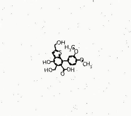 COc1ccc(-c2c(C(=O)O)c(CO)c(O)c3cc(CO)sc23)cc1OC